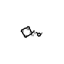 [2H]C1=C(C(C)OCc2cccc(F)c2)C2=CC3=NC(=CC4=NC(=CC5=NC(=CC1=N2)C=C5)C=C4)C=C3